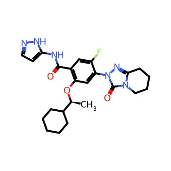 C[C@H](Oc1cc(-n2nc3n(c2=O)CCCC3)c(F)cc1C(=O)Nc1ccn[nH]1)C1CCCCC1